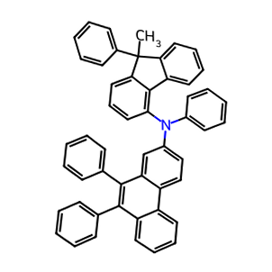 CC1(c2ccccc2)c2ccccc2-c2c(N(c3ccccc3)c3ccc4c(c3)c(-c3ccccc3)c(-c3ccccc3)c3ccccc34)cccc21